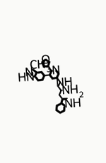 Cc1n[nH]c2ccc(-c3cc(NC[C@@H](N)Cc4c[nH]c5ccccc45)cnc3-c3ccoc3)cc12